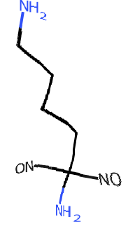 NCCCCC(N)(N=O)N=O